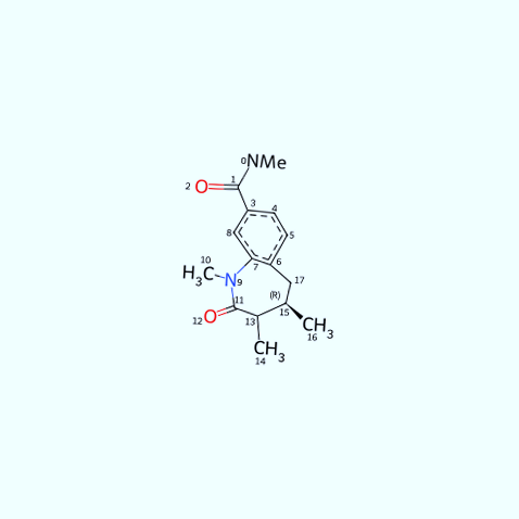 CNC(=O)c1ccc2c(c1)N(C)C(=O)C(C)[C@H](C)C2